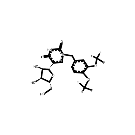 O=c1[nH]c(=O)n(Cc2ccc(OC(F)(F)F)c(OC(F)(F)F)c2)cc1[C@@H]1O[C@H](CO)[C@@H](O)[C@H]1O